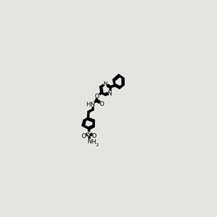 NS(=O)(=O)c1ccc(CCNC(=O)Oc2cnc(-c3ccccc3)nc2)cc1